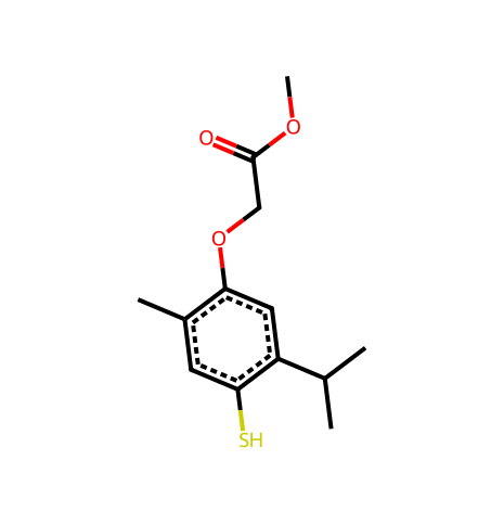 COC(=O)COc1cc(C(C)C)c(S)cc1C